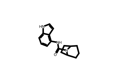 O=C(Nc1cccc2[nH]ccc12)N1C2CCCC1CC2